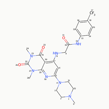 CN1CCN(c2cc(NCC(=O)Nc3ccc(C(F)(F)F)cc3)c3c(=O)n(C)c(=O)n(C)c3n2)CC1